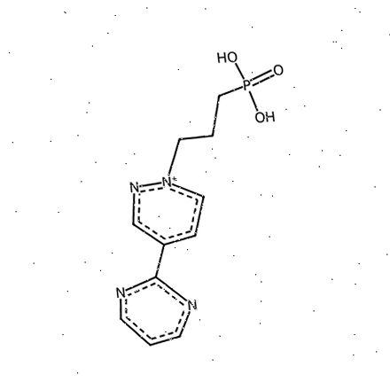 O=P(O)(O)CCC[n+]1ccc(-c2ncccn2)cn1